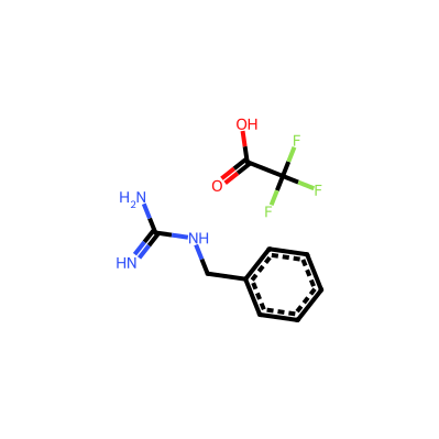 N=C(N)NCc1ccccc1.O=C(O)C(F)(F)F